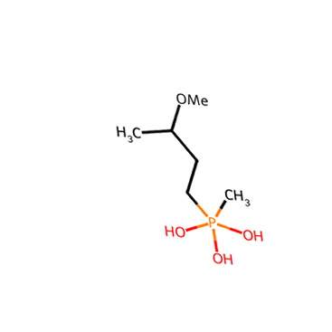 COC(C)CCP(C)(O)(O)O